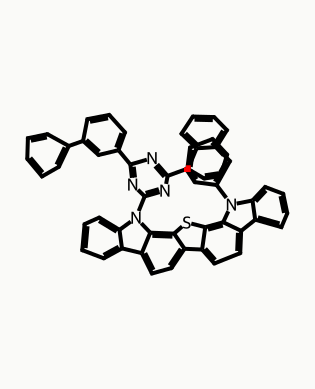 c1ccc(-c2cccc(-c3nc(-c4ccccc4)nc(-n4c5ccccc5c5ccc6c7ccc8c9ccccc9n(-c9ccc%10ccccc%10c9)c8c7sc6c54)n3)c2)cc1